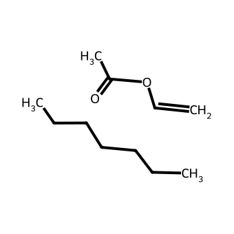 C=COC(C)=O.CCCCCCC